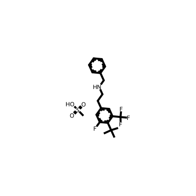 CC(C)(C)c1c(F)cc(CCNCc2ccccc2)cc1C(F)(F)F.CS(=O)(=O)O